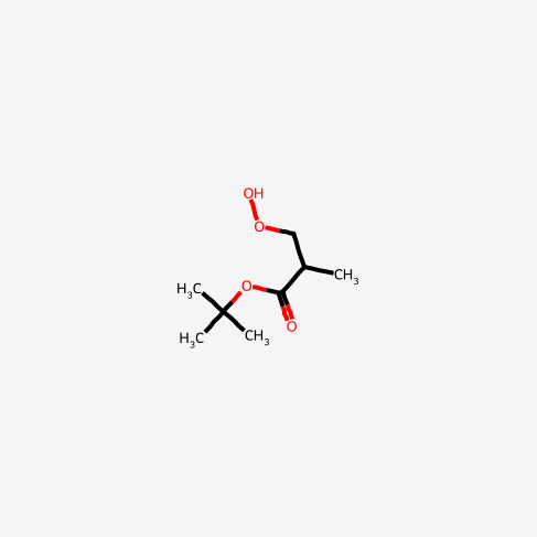 CC(COO)C(=O)OC(C)(C)C